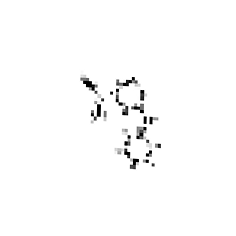 C#C[C@H](O)c1cccc(Oc2ccccc2)c1